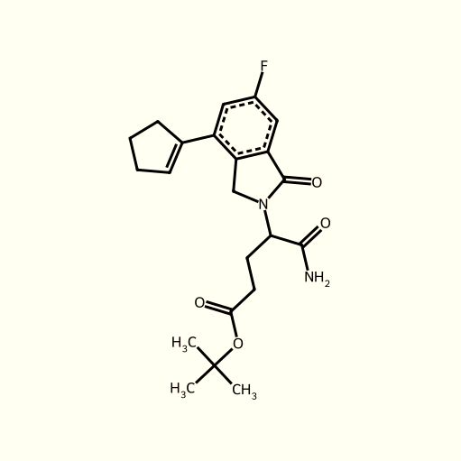 CC(C)(C)OC(=O)CCC(C(N)=O)N1Cc2c(cc(F)cc2C2=CCCC2)C1=O